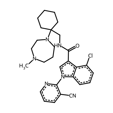 CN1CCCN(C2(CNC(=O)c3cn(-c4ncccc4C#N)c4cccc(Cl)c34)CCCCC2)CC1